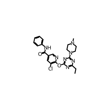 CCc1nc(Oc2ncc(C(=O)Nc3ccccc3)cc2Cl)nc(N2CCN(C)CC2)n1